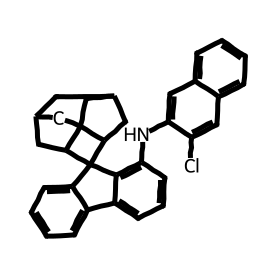 Clc1cc2ccccc2cc1Nc1cccc2c1C1(c3ccccc3-2)C2CC3CC4CC1C2(C3)C4